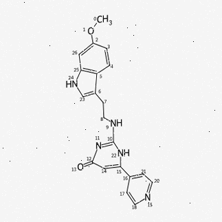 COc1ccc2c(CCNc3nc(=O)cc(-c4ccncc4)[nH]3)c[nH]c2c1